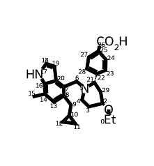 CCO[C@H]1CCN(Cc2c(CC3CC3)cc(C)c3[nH]ccc23)[C@H](c2ccc(C(=O)O)cc2)C1